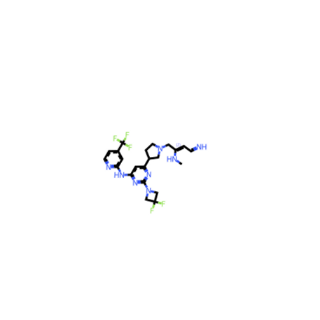 CN/C(=C\C=N)CN1CCC(c2cc(Nc3cc(C(F)(F)F)ccn3)nc(N3CC(F)(F)C3)n2)C1